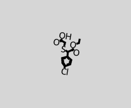 CCOC(=O)C(SCC(=O)O)c1ccc(Cl)cc1